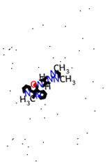 Cc1cc(C)nc(N2C[C@H]3CN(C(=O)c4c(-c5ccccn5)c(C)n5ccccc45)C[C@H]3C2)n1